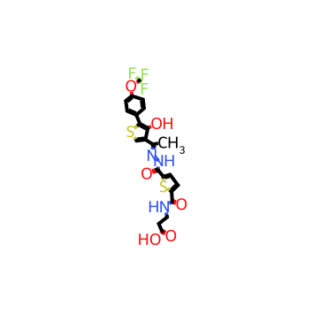 C/C(=N\NC(=O)c1ccc(C(=O)NCCC(=O)O)s1)c1csc(-c2ccc(OC(F)(F)F)cc2)c1O